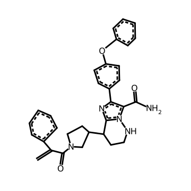 C=C(C(=O)N1CCC(C2CCNn3c2nc(-c2ccc(Oc4ccccc4)cc2)c3C(N)=O)C1)c1ccccc1